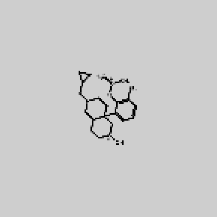 C[SiH](C)Oc1c(C(C)(C)C)cccc1C12CCN(CC3CC3)CC1CC[C@@H](O)C2